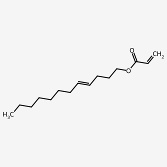 C=CC(=O)OCCC/C=C/CCCCCCC